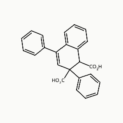 O=C(O)C1c2ccccc2C(c2ccccc2)=CC1(C(=O)O)c1ccccc1